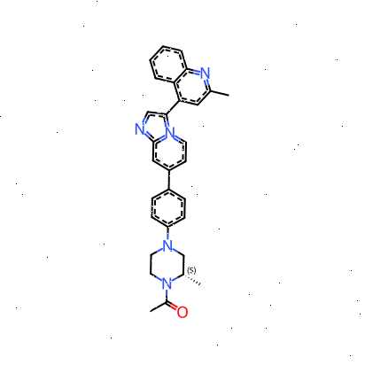 CC(=O)N1CCN(c2ccc(-c3ccn4c(-c5cc(C)nc6ccccc56)cnc4c3)cc2)C[C@@H]1C